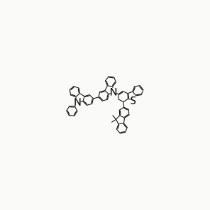 CC1(C)c2ccccc2-c2ccc(C3CC(n4c5ccccc5c5cc(-c6ccc7c(c6)c6ccccc6n7-c6ccccc6)ccc54)=Cc4c3sc3ccccc43)cc21